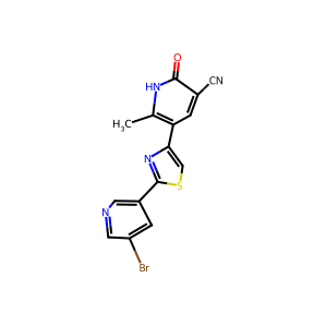 Cc1[nH]c(=O)c(C#N)cc1-c1csc(-c2cncc(Br)c2)n1